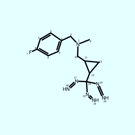 CN(Cc1ccc(F)cc1)CC1CC1C(N=N)(N=N)N=N